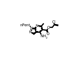 C=C(Cl)COC(=O)c1c(C)nc2c(cnn2CCCCC)c1N